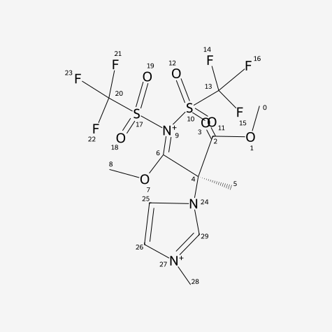 COC(=O)[C@](C)(C(OC)=[N+](S(=O)(=O)C(F)(F)F)S(=O)(=O)C(F)(F)F)n1cc[n+](C)c1